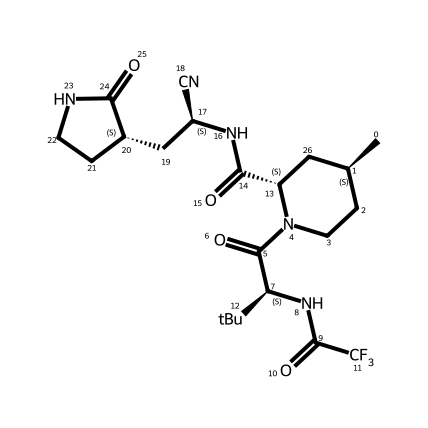 C[C@H]1CCN(C(=O)[C@@H](NC(=O)C(F)(F)F)C(C)(C)C)[C@H](C(=O)N[C@H](C#N)C[C@@H]2CCNC2=O)C1